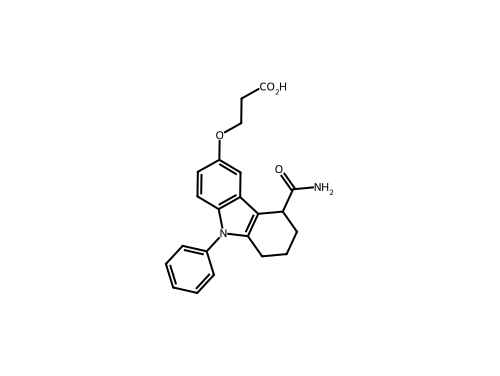 NC(=O)C1CCCc2c1c1cc(OCCC(=O)O)ccc1n2-c1ccccc1